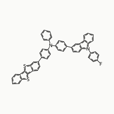 Fc1ccc(-n2c3ccccc3c3cc(-c4ccc(N(c5ccccc5)c5ccc(-c6ccc7c(c6)sc6c8ccccc8sc76)cc5)cc4)ccc32)cc1